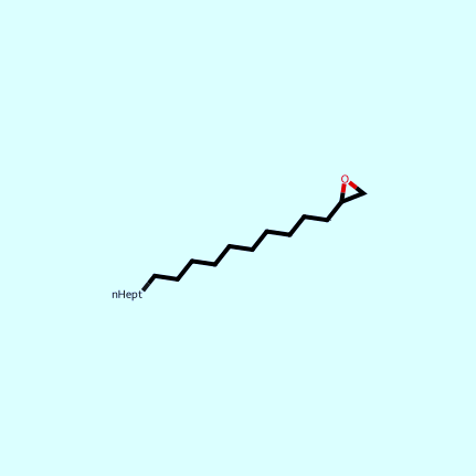 CCCCCCCCCCCCCCCC[CH]C1CO1